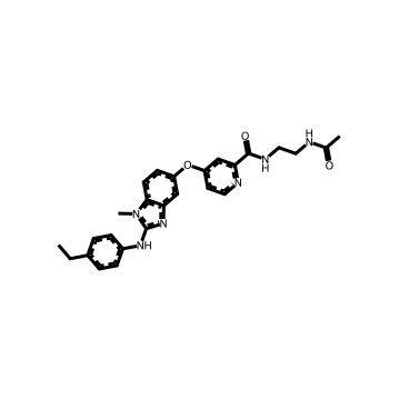 CCc1ccc(Nc2nc3cc(Oc4ccnc(C(=O)NCCNC(C)=O)c4)ccc3n2C)cc1